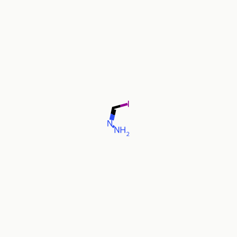 N/N=C\I